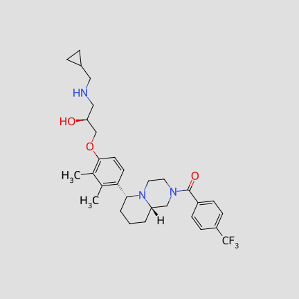 Cc1c(OC[C@@H](O)CNCC2CC2)ccc([C@H]2CCC[C@H]3CN(C(=O)c4ccc(C(F)(F)F)cc4)CCN32)c1C